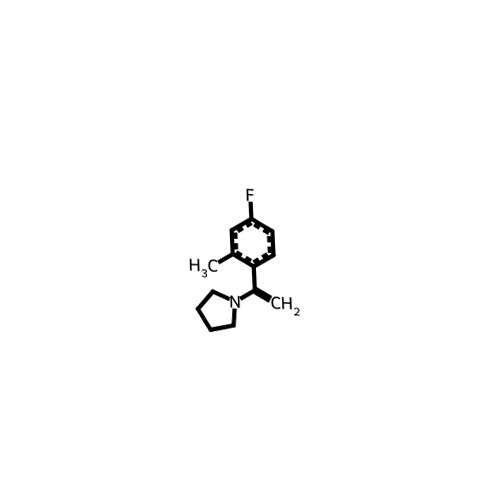 C=C(c1ccc(F)cc1C)N1CCCC1